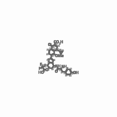 COc1c(-c2cc3c(s2)CCCC3NC(=O)[C@H](N)Cc2ccc(O)cc2)ccc2c(=O)c(C(=O)O)cn(C3CC3)c12.O=C(O)C(F)(F)F